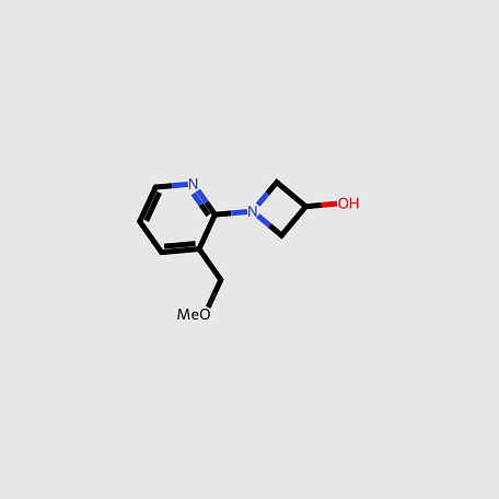 COCc1cccnc1N1CC(O)C1